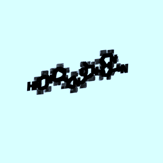 CC1CN(c2ccc(C#N)c3ncccc23)CC(CN2CCC(c3cccc(N4CCNCC4)c3)C2)O1